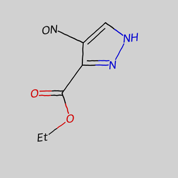 CCOC(=O)c1n[nH]cc1N=O